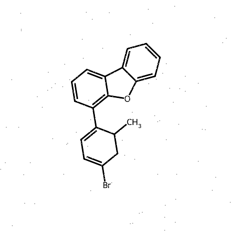 CC1CC(Br)=CC=C1c1cccc2c1oc1ccccc12